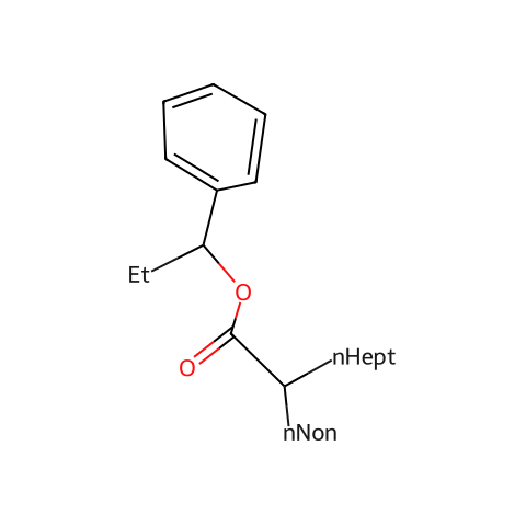 CCCCCCCCCC(CCCCCCC)C(=O)OC(CC)c1ccccc1